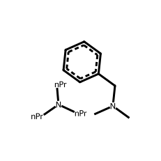 CCCN(CCC)CCC.CN(C)Cc1ccccc1